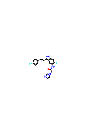 O=C(Cn1ccnc1)Nc1cc2c(/C=C/c3ccc(F)cc3)n[nH]c2cc1F